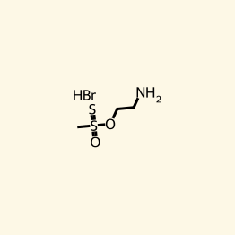 Br.CS(=O)(=S)OCCN